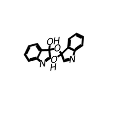 OC1(OC2(O)C=Nc3ccccc32)C=Nc2ccccc21